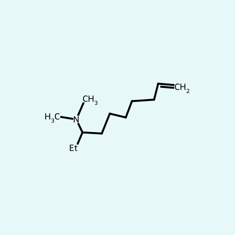 C=CCCCCCC(CC)N(C)C